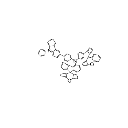 c1ccc(-n2c3ccccc3c3cc(-c4ccc(N(c5ccc6c(c5)C5(c7ccccc7Oc7ccccc75)c5ccccc5-6)c5cccc6c5-c5ccccc5C65c6ccccc6Oc6ccccc65)cc4)ccc32)cc1